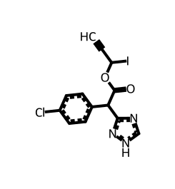 C#CC(I)OC(=O)C(c1ccc(Cl)cc1)c1nc[nH]n1